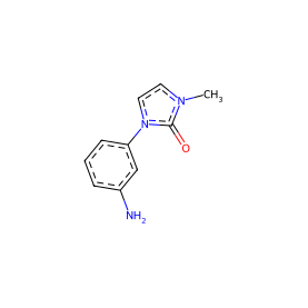 Cn1ccn(-c2cccc(N)c2)c1=O